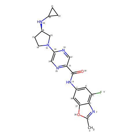 Cc1nc2c(F)cc(NC(=O)c3cnc(N4CC[C@@H](NC5CC5)C4)cn3)cc2o1